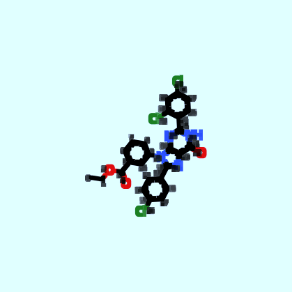 CCOC(=O)c1cccc(-n2c(-c3ccc(Cl)cc3)nc3c(=O)[nH]c(-c4ccc(Cl)cc4Cl)nc32)c1